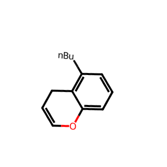 [CH2]CCCc1cccc2c1CC=CO2